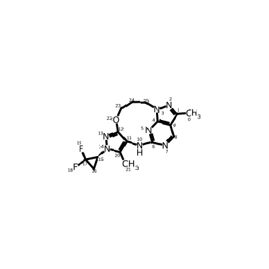 Cc1nn2c3nc(ncc13)Nc1c(nn([C@H]3CC3(F)F)c1C)OCCC2